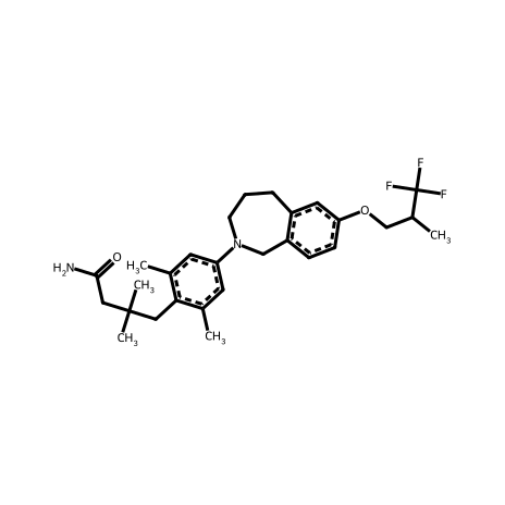 Cc1cc(N2CCCc3cc(OCC(C)C(F)(F)F)ccc3C2)cc(C)c1CC(C)(C)CC(N)=O